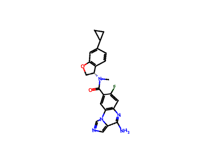 CN(C(=O)c1cc2c(cc1F)nc(N)c1cncn12)[C@@H]1COc2cc(C3CC3)ccc21